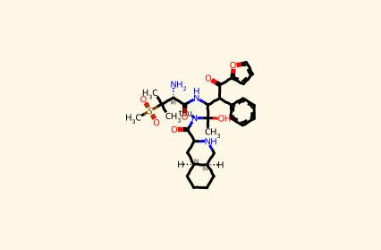 CC(C)(C)N(C(=O)C1C[C@@H]2CCCC[C@@H]2CN1)C(C)(O)C(NC(=O)[C@@H](N)C(C)(C)S(C)(=O)=O)C(C(=O)c1ccco1)c1ccccc1